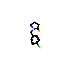 S=C1CCCN1Cc1ccc(Cl)cc1